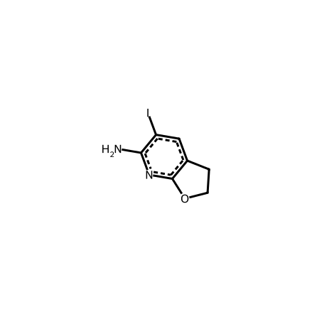 Nc1nc2c(cc1I)CCO2